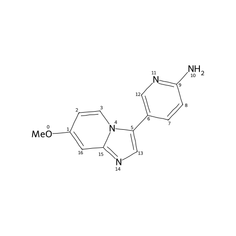 COc1ccn2c(-c3ccc(N)nc3)cnc2c1